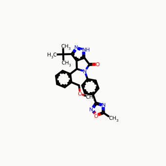 COCc1ccccc1C1c2c(C(C)(C)C)n[nH]c2C(=O)N1c1ccc(-c2noc(C)n2)cc1